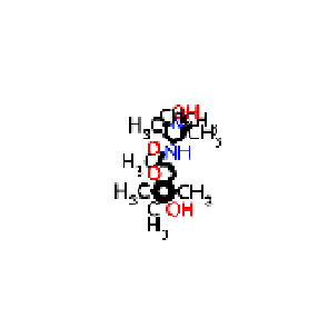 Cc1c(C)c2c(c(C)c1O)CCC(C)(C(=O)NC1CC(C)(C)N(O)C(C)(C)C1)O2